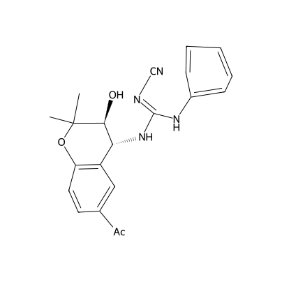 CC(=O)c1ccc2c(c1)[C@@H](NC(=NC#N)Nc1ccccc1)[C@H](O)C(C)(C)O2